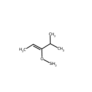 CC=C(O[SiH3])C(C)C